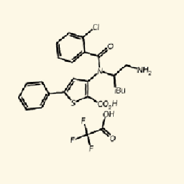 CCC(C)C(CN)N(C(=O)c1ccccc1Cl)c1cc(-c2ccccc2)sc1C(=O)O.O=C(O)C(F)(F)F